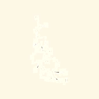 CCC(=O)OC1C=C[C@@]2(C)C(=C1)CC[C@H]1[C@@H]3CC[C@H](C(=O)O)[C@@]3(C)CC[C@@H]12